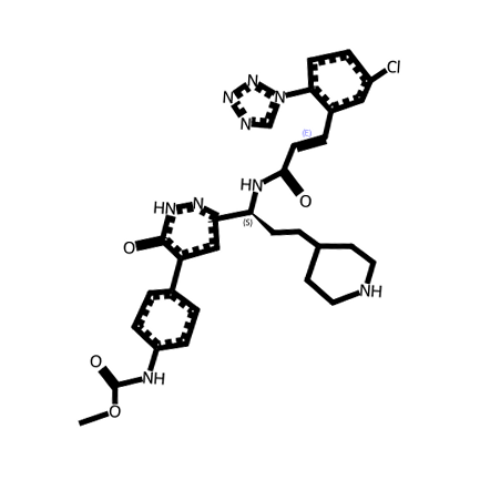 COC(=O)Nc1ccc(-c2cc([C@H](CCC3CCNCC3)NC(=O)/C=C/c3cc(Cl)ccc3-n3cnnn3)n[nH]c2=O)cc1